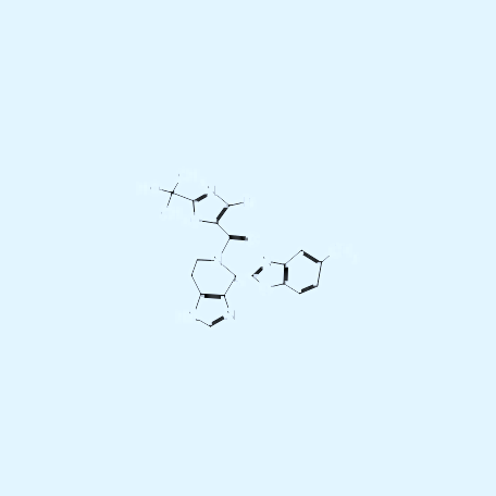 Cc1ccc2oc([C@@H]3c4nc[nH]c4CCN3C(=O)c3oc(C(C)(C)O)nc3Br)nc2c1